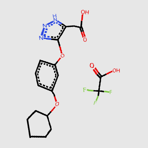 O=C(O)C(F)(F)F.O=C(O)c1[nH]nnc1Oc1cccc(OC2CCCCC2)c1